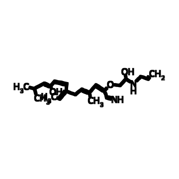 C=CCNC(O)CO/C(C=N)=C/C(C)=C/CC(/C=C\C(O)=C\C(C)C)=C/C